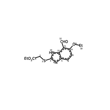 CCOC(=O)CSc1nc2ccc(OCC)c(C=O)c2[nH]1